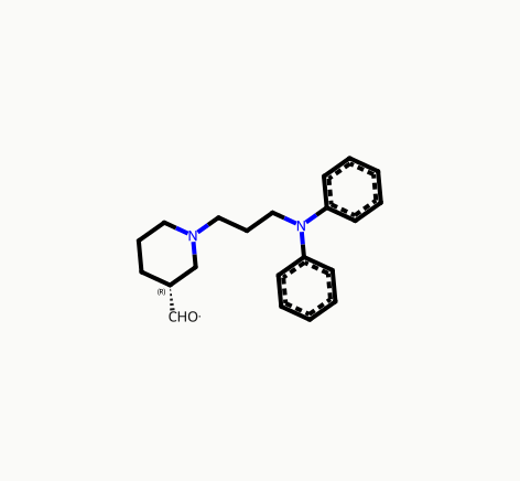 O=[C][C@@H]1CCCN(CCCN(c2ccccc2)c2ccccc2)C1